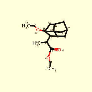 CCOC(=O)C(C)C1C2CC3CC(C2)CC1(OCC)C3